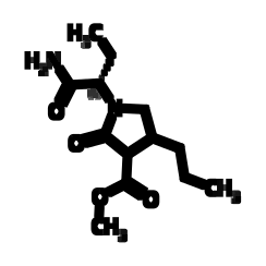 CCCC1CN([C@@H](CC)C(N)=O)C(=O)C1C(=O)OC